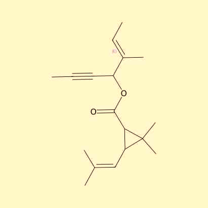 CC#CC(OC(=O)C1C(C=C(C)C)C1(C)C)/C(C)=C/C